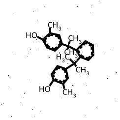 Cc1cc(C(C)(C)c2ccccc2C(C)(C)c2ccc(O)c(C)c2)ccc1O